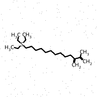 C=C(C)C(=C)CCCCCCCCCCS(CC)(CC)CC